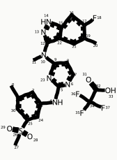 Cc1cc(Nc2nccc(N(C)c3n[nH]c4cc(F)c(C)cc34)n2)cc(S(C)(=O)=O)c1.O=C(O)C(F)(F)F